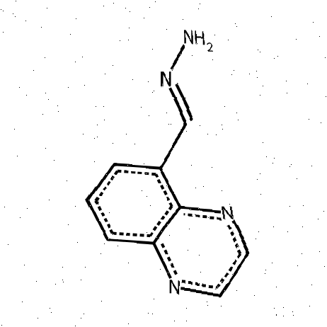 NN=Cc1cccc2nccnc12